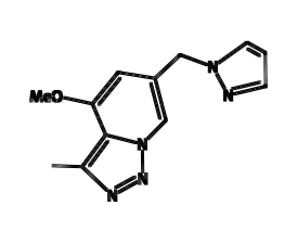 COc1cc(Cn2cccn2)cn2nnc(C)c12